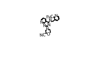 N#CC1CN(c2nc(NCc3cccnc3C(F)(F)F)c3cccnc3n2)CCO1